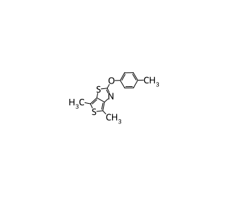 Cc1ccc(Oc2nc3c(C)sc(C)c3s2)cc1